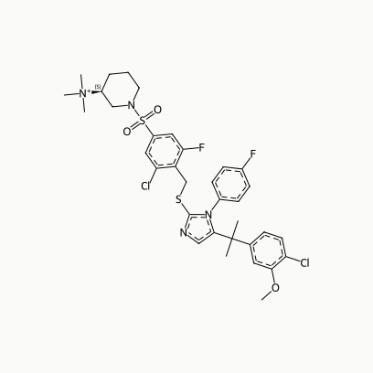 COc1cc(C(C)(C)c2cnc(SCc3c(F)cc(S(=O)(=O)N4CCC[C@H]([N+](C)(C)C)C4)cc3Cl)n2-c2ccc(F)cc2)ccc1Cl